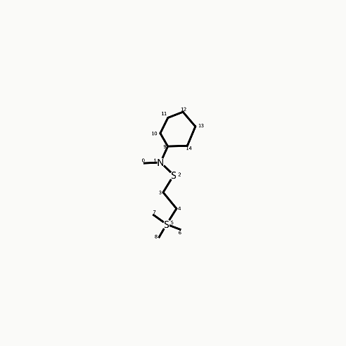 CN(SCCS(C)(C)C)C1CCCCC1